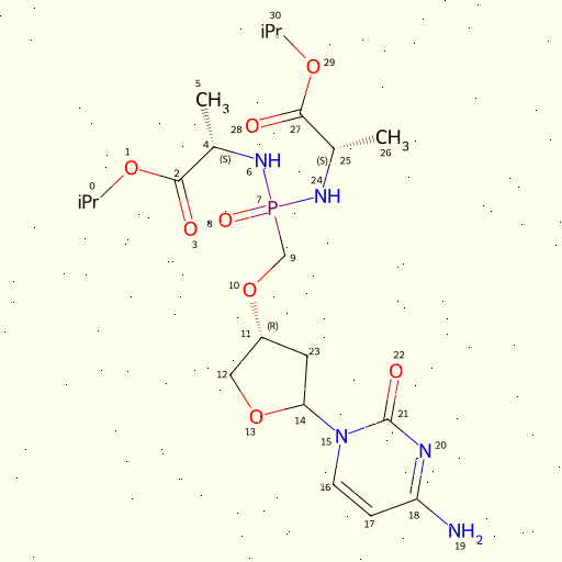 CC(C)OC(=O)[C@H](C)NP(=O)(CO[C@H]1COC(n2ccc(N)nc2=O)C1)N[C@@H](C)C(=O)OC(C)C